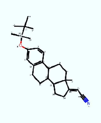 CC12CCC3c4ccc(O[Si](C)(C)C(C)(C)C)cc4CCC3C1CC/C2=C\C#N